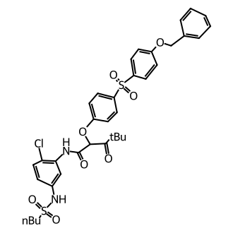 CCCCS(=O)(=O)Nc1ccc(Cl)c(NC(=O)C(Oc2ccc(S(=O)(=O)c3ccc(OCc4ccccc4)cc3)cc2)C(=O)C(C)(C)C)c1